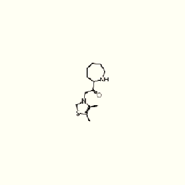 CC1=C(C)N(CC(=O)C2CCCCCN2)CS1